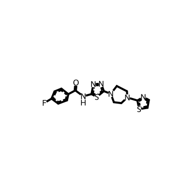 O=C(Nc1nnc(N2CCN(c3nccs3)CC2)s1)c1ccc(F)cc1